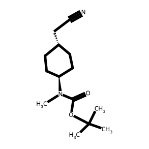 CN(C(=O)OC(C)(C)C)[C@H]1CC[C@H](CC#N)CC1